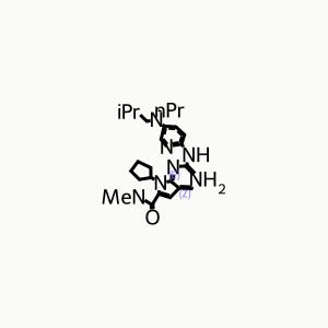 C=C(/N=C1\C(=C/N)C=C(C(=O)NC)N1C1CCCC1)Nc1ccc(N(CCC)CC(C)C)cn1